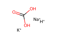 O=C(O)O.[H+].[K+].[Na+]